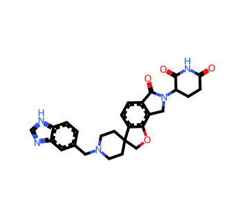 O=C1CCC(N2Cc3c(ccc4c3OCC43CCN(Cc4ccc5[nH]cnc5c4)CC3)C2=O)C(=O)N1